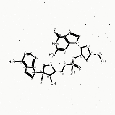 Nc1nc2c(ncn2[C@@H]2O[C@H](CO)C[C@H]2OP(=O)(S)OC[C@H]2OC[C@@](F)(n3ccc4c(N)ncnc43)[C@@H]2O)c(=O)[nH]1